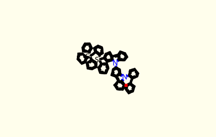 c1ccc(-c2ccccc2-n2c3ccccc3c3ccc(-n4c5ccccc5c5ccc([Si]6(c7ccccc7)c7ccccc7[Si](c7ccccc7)(c7ccccc7)c7ccccc76)cc54)cc32)cc1